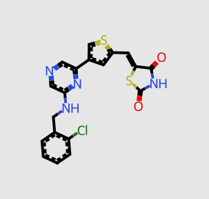 O=C1NC(=O)C(=Cc2cc(-c3cncc(NCc4ccccc4Cl)n3)cs2)S1